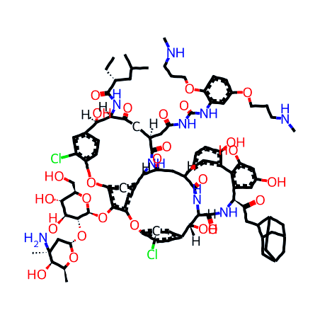 CC[C@H](CC(C)C)C(=O)N[C@H]1C(=O)C[C@@H](CC(=O)NC(=O)Nc2cc(OCCCNC)ccc2OCCCNC)C(=O)N[C@H]2C(=O)C[C@H]3C(=O)N[C@H](C(=O)N[C@H](C(=O)CC4C5CC6CC(C5)CC4C6)c4cc(O)cc(O)c4-c4cc3ccc4O)[C@H](O)c3ccc(c(Cl)c3)Oc3cc2cc(c3O[C@@H]2O[C@H](CO)[C@@H](O)[C@H](O)[C@H]2O[C@H]2C[C@](C)(N)[C@H](O)[C@H](C)O2)Oc2ccc(cc2Cl)[C@H]1O